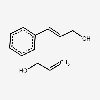 C=CCO.OC/C=C/c1ccccc1